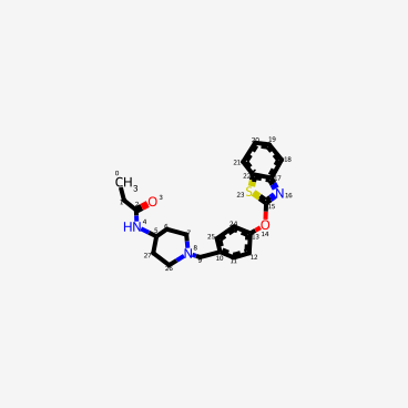 CCC(=O)NC1CCN(Cc2ccc(Oc3nc4ccccc4s3)cc2)CC1